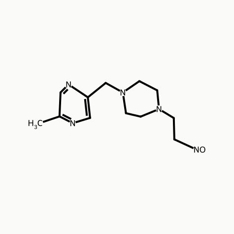 Cc1cnc(CN2CCN(CCN=O)CC2)cn1